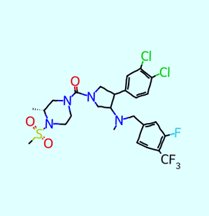 C[C@@H]1CN(C(=O)N2CC(c3ccc(Cl)c(Cl)c3)C(N(C)Cc3ccc(C(F)(F)F)c(F)c3)C2)CCN1S(C)(=O)=O